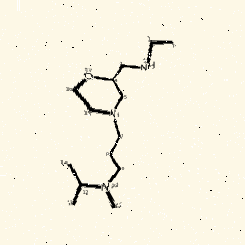 CCNC[C@H]1CN(CCCN(C)C(C)C)CCO1